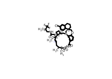 CO[C@@]1(CC(=O)NC[C@@H](C)C(F)(F)F)/C=C/C[C@H](C)[C@@H](C)S(=O)(=O)NC(=O)c2ccc3c(c2)N(C[C@@H]2CC[C@H]21)C[C@@]1(CCCc2cc(Cl)ccc21)CO3